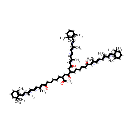 CC(=O)C(CCCCCC(=O)/C=C(C)/C=C/C=C(C)/C=C/C1=C(C)CCCC1(C)C)CC(=O)C(CCCCCC(=O)/C=C(C)/C=C/C=C(C)/C=C/C1=C(C)CCCC1(C)C)CC(=O)/C=C(C)/C=C/C=C(C)/C=C/C1=C(C)CCCC1(C)C